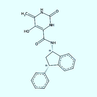 C=C1NC(=O)NC(C(=O)N[C@H]2C[C@@H](c3ccccc3)c3ccccc32)=C1O